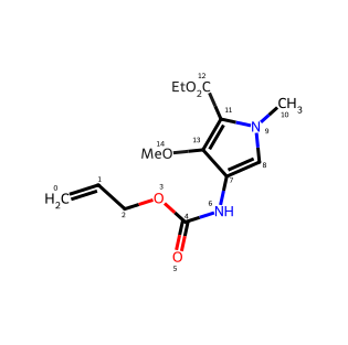 C=CCOC(=O)Nc1cn(C)c(C(=O)OCC)c1OC